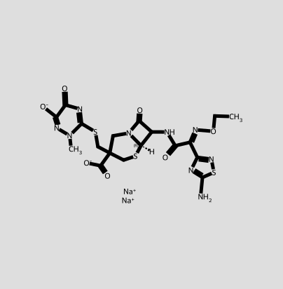 CCON=C(C(=O)NC1C(=O)N2CC(CSc3nc(=O)c([O-])nn3C)(C(=O)[O-])CS[C@H]12)c1nsc(N)n1.[Na+].[Na+]